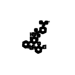 Cc1ccccc1-c1cc(Oc2c(C)cccc2Cl)nc(NS(=O)(=O)c2cccc([N+](=O)[O-])c2)n1